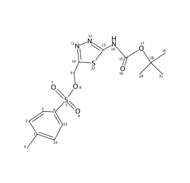 Cc1ccc(S(=O)(=O)OCc2nnc(NC(=O)OC(C)(C)C)s2)cc1